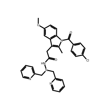 COc1ccc2c(c1)c(CC(=O)NN(Cc1ccccn1)Cc1ccccn1)c(C)n2C(=O)c1ccc(Cl)cc1